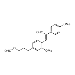 COc1ccc(/C(C=O)=C/c2ccc(CCCOC=O)cc2OC)cc1